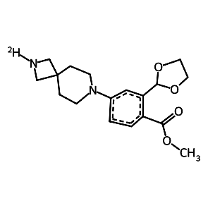 [2H]N1CC2(CCN(c3ccc(C(=O)OC)c(C4OCCO4)c3)CC2)C1